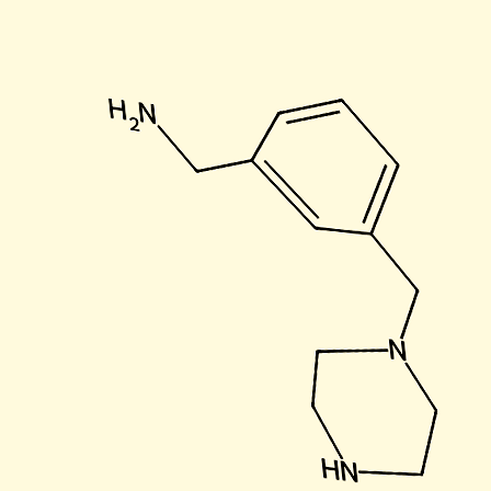 NCc1cccc(CN2CCNCC2)c1